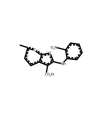 CCOC(=O)c1c(Nc2ccccc2[N+](=O)[O-])sc2cc(C)ccc12